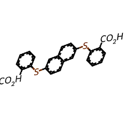 O=C(O)c1ccccc1Sc1ccc2cc(Sc3ccccc3C(=O)O)ccc2c1